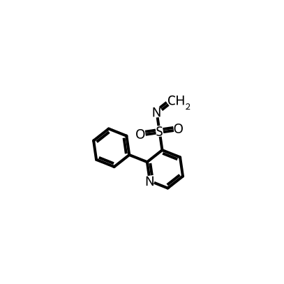 C=NS(=O)(=O)c1cccnc1-c1ccccc1